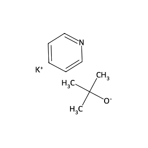 CC(C)(C)[O-].[K+].c1ccncc1